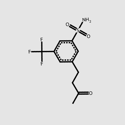 CC(=O)CCc1cc(C(F)(F)F)cc(S(N)(=O)=O)c1